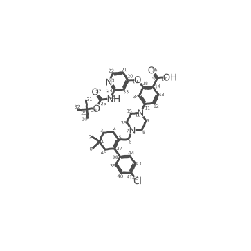 CC1(C)CCC(CN2CCN(c3ccc(C(=O)O)c(Oc4ccnc(NC(=O)OC(C)(C)C)c4)c3)CC2)=C(c2ccc(Cl)cc2)C1